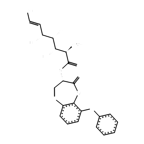 CO[C@@H](C(=O)N[C@H]1CSc2cccc(Oc3ccccc3)c2NC1=O)[C@H](O)[C@@H](O)[C@H](O)/C=C/C(C)(C)C